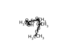 CC(=O)C(CCSSCCC(=O)N(C)CCN(C)C(=O)CCOCCOCCC(C)C)S(=O)(=O)O